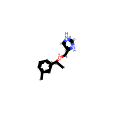 Cc1cccc(C(C)OCc2c[nH]cn2)c1